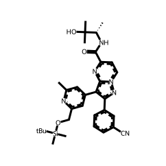 Cc1cc(-c2c(-c3cccc(C#N)c3)nn3ccc(C(=O)N[C@@H](C)C(C)(C)O)nc23)cc(CO[Si](C)(C)C(C)(C)C)n1